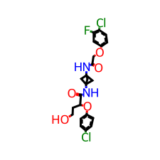 O=C(COc1ccc(Cl)c(F)c1)NC12CC(NC(=O)C(CCO)Oc3ccc(Cl)cc3)(C1)C2